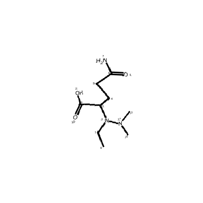 CCN(C(CCC(N)=O)C(=O)O)N(C)C